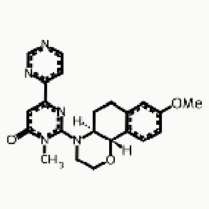 COc1ccc2c(c1)CC[C@H]1[C@H]2OCCN1c1nc(-c2ccncn2)cc(=O)n1C